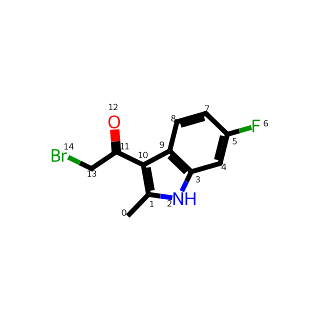 Cc1[nH]c2cc(F)ccc2c1C(=O)CBr